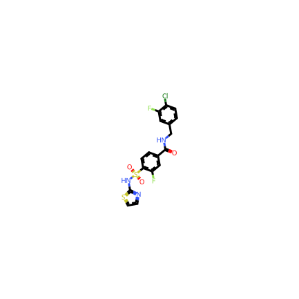 O=C(NCc1ccc(Cl)c(F)c1)c1ccc(S(=O)(=O)Nc2nccs2)c(F)c1